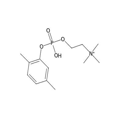 Cc1ccc(C)c(OP(=O)(O)OCC[N+](C)(C)C)c1